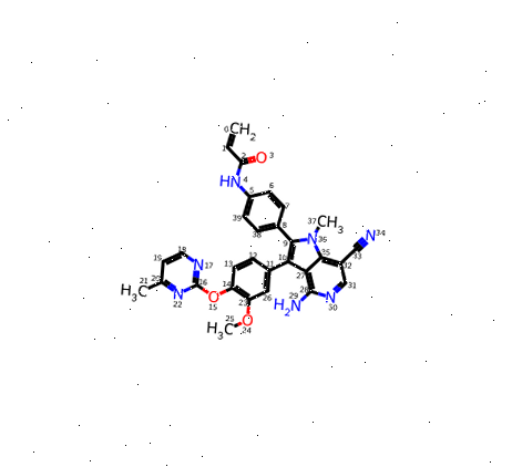 C=CC(=O)Nc1ccc(-c2c(-c3ccc(Oc4nccc(C)n4)c(OC)c3)c3c(N)ncc(C#N)c3n2C)cc1